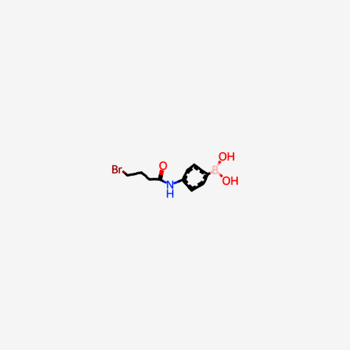 O=C(CCCBr)Nc1ccc(B(O)O)cc1